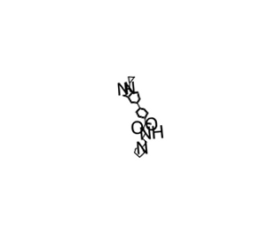 O=C(NCCN1CCCC1)C(=O)c1ccc(-c2ccc3c(cnn3C3CC3)c2)cc1